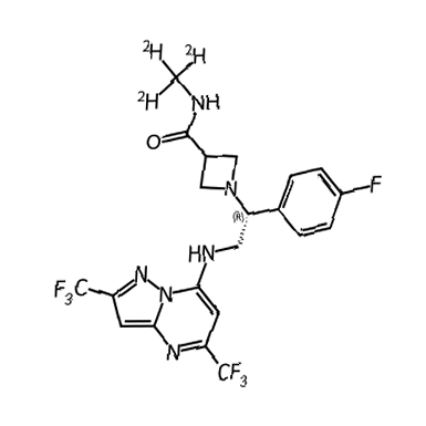 [2H]C([2H])([2H])NC(=O)C1CN([C@@H](CNc2cc(C(F)(F)F)nc3cc(C(F)(F)F)nn23)c2ccc(F)cc2)C1